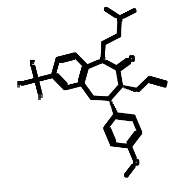 C=CC[C@H]1C(=O)N(CCN(C)C)c2ccc(C(F)(F)F)cc2C[C@H]1c1ccc(OC)cc1